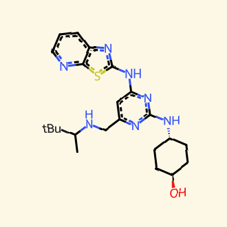 CC(NCc1cc(Nc2nc3cccnc3s2)nc(N[C@H]2CC[C@H](O)CC2)n1)C(C)(C)C